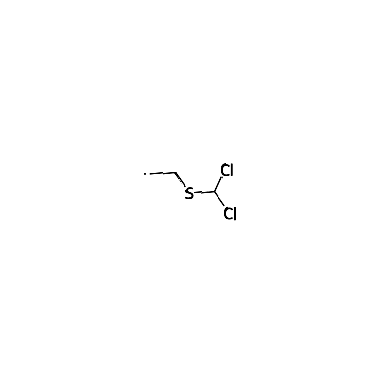 [CH2]CSC(Cl)Cl